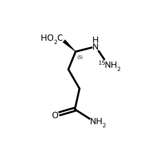 NC(=O)CC[C@H](N[15NH2])C(=O)O